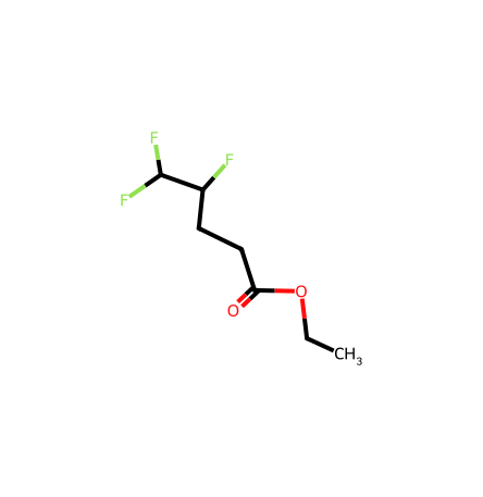 CCOC(=O)CCC(F)C(F)F